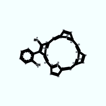 Oc1ccccc1C1=[C]([Mn])C2=NC1=CC1=NC(=CC3=NC(=CC4=NC(=C2)C=C4)C=C3)C=C1